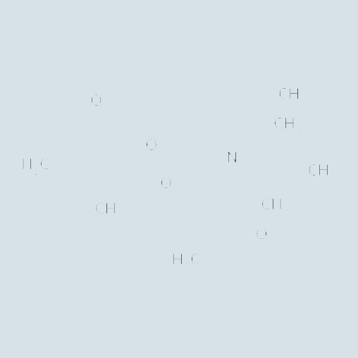 C=C(C)C(=O)OCC(CC)N(C(=O)C(C)=O)C(C)(C)C